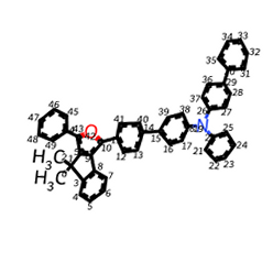 CC1(C)c2ccccc2-c2c(-c3ccc(-c4ccc(N(c5ccccc5)c5ccc(-c6ccccc6)cc5)cc4)cc3)oc(-c3ccccc3)c21